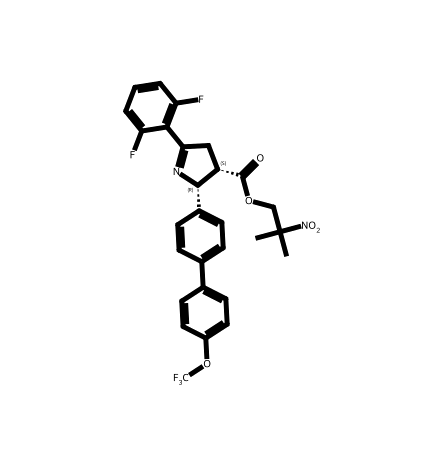 CC(C)(COC(=O)[C@H]1CC(c2c(F)cccc2F)=N[C@H]1c1ccc(-c2ccc(OC(F)(F)F)cc2)cc1)[N+](=O)[O-]